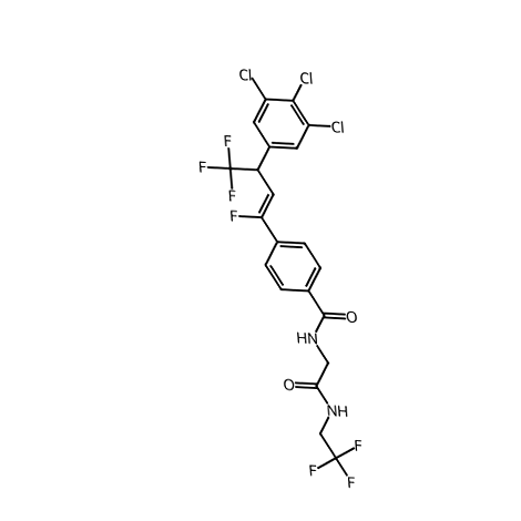 O=C(CNC(=O)c1ccc(C(F)=CC(c2cc(Cl)c(Cl)c(Cl)c2)C(F)(F)F)cc1)NCC(F)(F)F